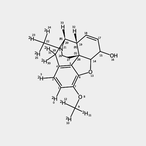 [2H]c1c([2H])c2c3c(c1OC([2H])([2H])[2H])OC1C(O)C=C[C@H]4[C@H](N(C([2H])([2H])[2H])CC[C@]314)C2([2H])[2H]